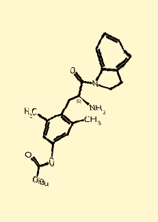 Cc1cc(OC(=O)OCC(C)C)cc(C)c1C[C@H](N)C(=O)N1CCc2ccccc21